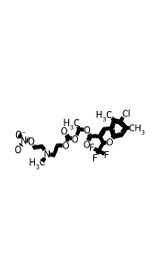 Cc1cc2c(c(C)c1Cl)C=C(C(=O)OC(C)OC(=O)OCCN(C)CCO[N+](=O)[O-])C(C(F)(F)F)O2